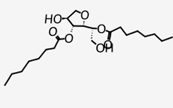 CCCCCCCC(=O)O[C@H]1[C@@H]([C@@H](CO)OC(=O)CCCCCCC)OC[C@@H]1O